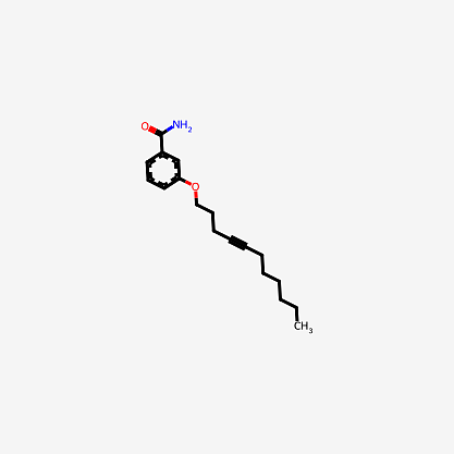 CCCCCCC#CCCCOc1cccc(C(N)=O)c1